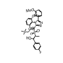 COc1cccc(-c2nnc(N(CC[Si](C)(C)C)S(=O)(=O)C(C)C(O)c3ccc(F)cc3)n2-c2c(OC)cccc2OC)n1